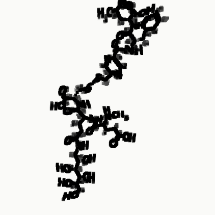 CN[C@@H](CCC(=O)O)C(=O)N[C@@H](CCC(=O)NC[C@H](O)[C@@H](O)[C@H](O)[C@H](O)CO)C(=O)N[C@@H](CSSCc1cnc(C(=O)N[C@@H](Cc2ccccc2)C(=O)N[C@@H](CC(C)C)B(O)O)cn1)C(=O)O